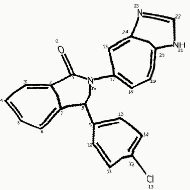 O=C1c2ccccc2C(c2ccc(Cl)cc2)N1c1ccc2[nH]cnc2c1